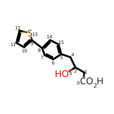 O=C(O)CC(O)Cc1ccc(-c2cccs2)cc1